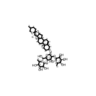 CC1CCC2(OC1)OC1CC3C4CC=C5C[C@@H](O[C@@H]6OC(CO)[C@@H](O[C@@H]7OC(C)[C@H](O)[C@H](O)C7O)[C@H](O)C6O[C@@H]6OC(C)[C@H](O)[C@H](O)C6O)CC[C@]5(C)C4CC[C@]3(C)C1[C@@H]2C